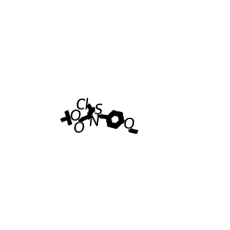 CCOc1ccc(-c2nc(C(=O)OC(C)(C)C)c(Cl)s2)cc1